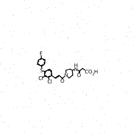 O=C(O)CC(=O)NC1CCN(C(=O)C=Cc2ccc(Sc3ccc(F)cc3)c(Cl)c2Cl)CC1